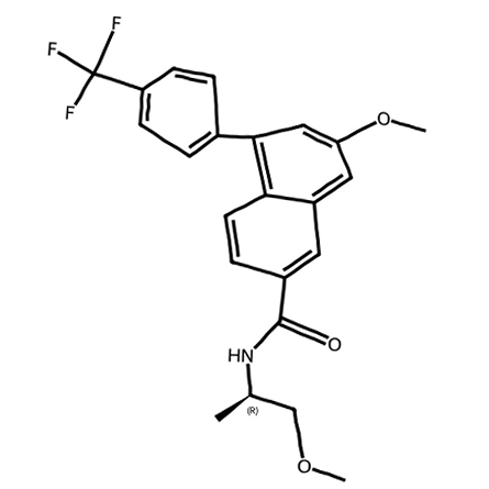 COC[C@@H](C)NC(=O)c1ccc2c(-c3ccc(C(F)(F)F)cc3)cc(OC)cc2c1